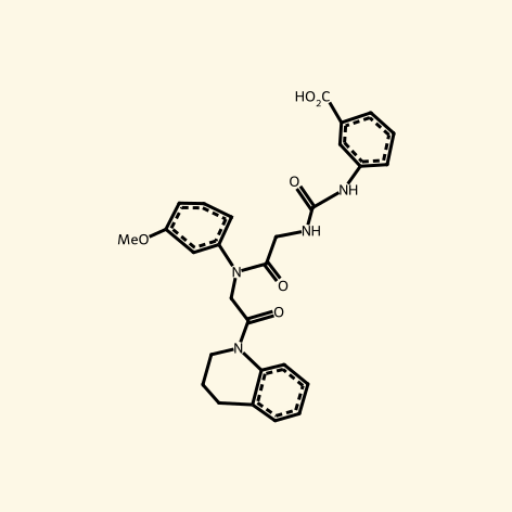 COc1cccc(N(CC(=O)N2CCCc3ccccc32)C(=O)CNC(=O)Nc2cccc(C(=O)O)c2)c1